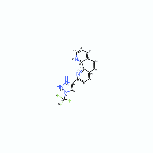 FC(F)(F)N1C=C(c2ccc3ccc4cccnc4c3n2)NN1